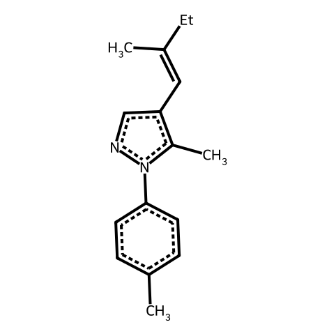 CC/C(C)=C/c1cnn(-c2ccc(C)cc2)c1C